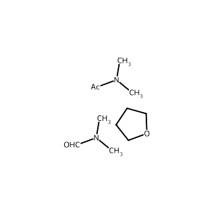 C1CCOC1.CC(=O)N(C)C.CN(C)C=O